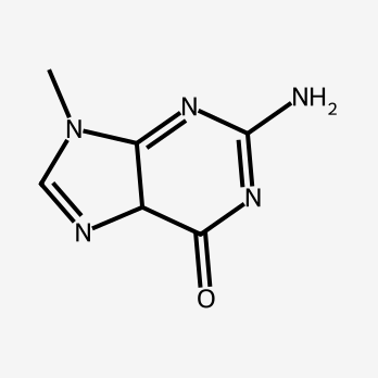 CN1C=NC2C(=O)N=C(N)N=C21